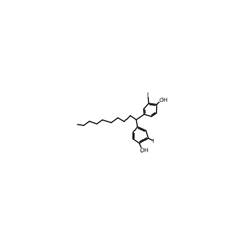 CCCCCCCCCC(c1ccc(O)c(I)c1)c1ccc(O)c(I)c1